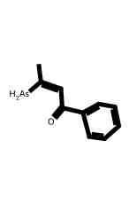 CC([AsH2])=CC(=O)c1ccccc1